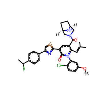 CCOc1ccc(Cl)c(-n2c(C=C(C)C)c(C(=O)N3C[C@H]4CC[C@@H](C3)N4)cc(-c3nc(-c4ccc(C(C)F)cc4)cs3)c2=O)c1